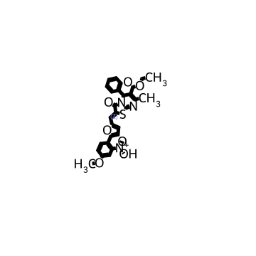 CCOC(=O)C1=C(C)N=c2s/c(=C\c3ccc(-c4ccc(OC)cc4[N+](=O)O)o3)c(=O)n2C1c1ccccc1